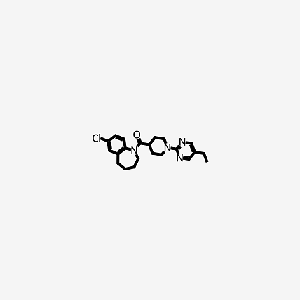 CCc1cnc(N2CCC(C(=O)N3CCCCc4cc(Cl)ccc43)CC2)nc1